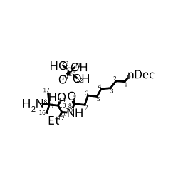 CCCCCCCCCCCCCCCCCC(=O)NC(CC)C(O)C(C)(C)N.O=P(O)(O)O